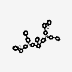 c1ccc(-c2ccc(N(c3ccc(-c4cccc(-c5ccc(N(c6ccc(-c7ccccc7)cc6)c6ccc(-c7cccc8c7oc7ccccc78)cc6)cc5)c4-c4ccccc4)cc3)c3ccc(-c4cccc5c4oc4ccccc45)cc3)cc2)cc1